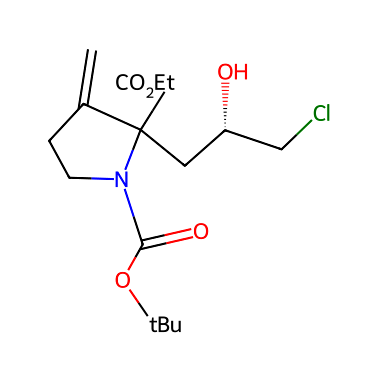 C=C1CCN(C(=O)OC(C)(C)C)C1(C[C@H](O)CCl)C(=O)OCC